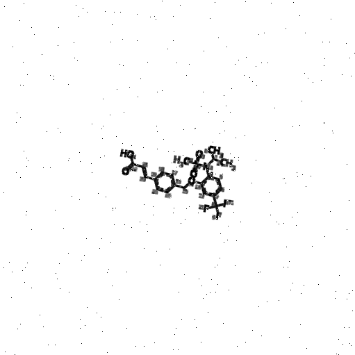 CC(C)N(c1ccc(C(F)(F)F)cc1OCc1ccc(C=CC(=O)O)cc1)S(C)(=O)=O